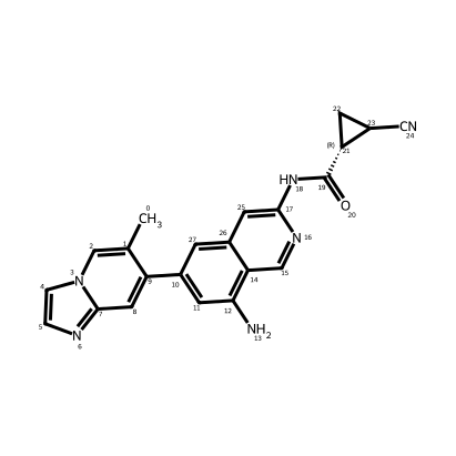 Cc1cn2ccnc2cc1-c1cc(N)c2cnc(NC(=O)[C@@H]3CC3C#N)cc2c1